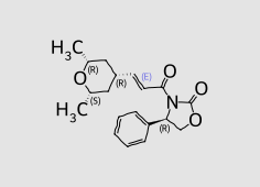 C[C@@H]1C[C@H](/C=C/C(=O)N2C(=O)OC[C@H]2c2ccccc2)C[C@H](C)O1